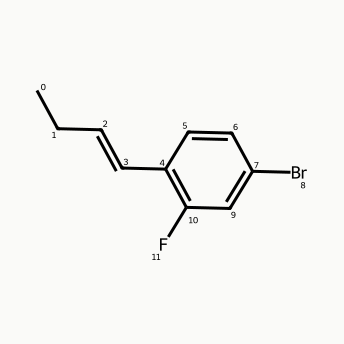 CC/C=C/c1ccc(Br)cc1F